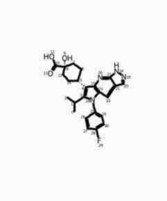 CC(C)c1c([C@H]2CC[C@](O)(C(=O)O)CC2)c2nc3[nH]ncc3cc2n1-c1ccc(F)cc1